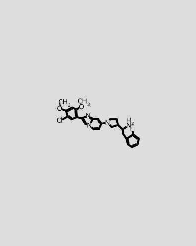 COc1cc(OC)c(-c2cn3ccc(N4CCC(C(N)Cc5ccccc5F)C4)cc3n2)cc1Cl